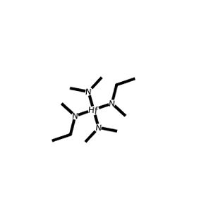 CC[N](C)[Hf]([N](C)C)([N](C)C)[N](C)CC